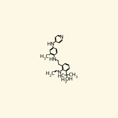 C=CNc1c(CCNc2ccc(Nc3ccncc3)cc2C)cccc1C(C)(C)O